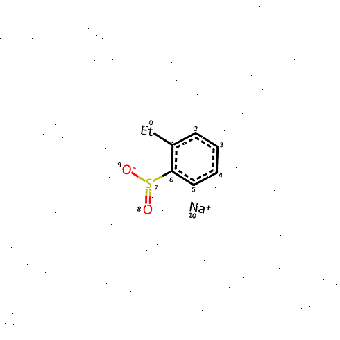 CCc1ccccc1S(=O)[O-].[Na+]